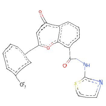 O=C(Nc1nccs1)c1cccc2c(=O)cc(-c3cccc(C(F)(F)F)c3)oc12